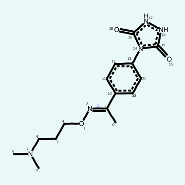 C/C(=N\OCCCN(C)C)c1ccc(-n2c(=O)[nH][nH]c2=O)cc1